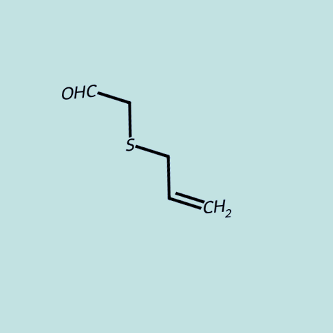 C=CCSCC=O